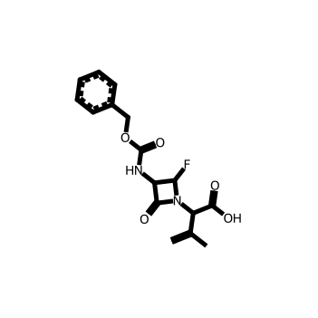 C=C(C)C(C(=O)O)N1C(=O)C(NC(=O)OCc2ccccc2)C1F